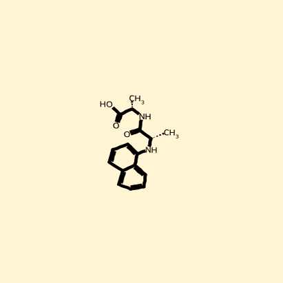 C[C@H](NC(=O)[C@H](C)Nc1cccc2ccccc12)C(=O)O